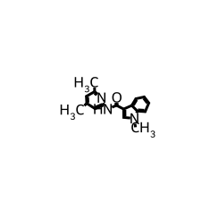 Cc1cc(C)nc(NC(=O)c2cn(C)c3ccccc23)c1